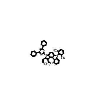 C=Cc1c(/C=C\C)n(-c2nc(-c3ccccc3)nc(-c3ccccc3)n2)c2ccc3c(c4ccccc4n3-c3c(C#N)cccc3C#N)c12